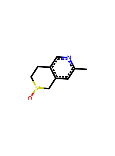 Cc1cc2c(cn1)CC[S+]([O-])C2